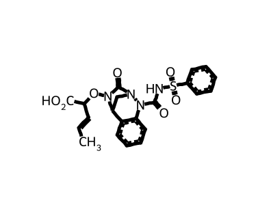 CC=CC(ON1C(=O)N2CC1c1ccccc1N2C(=O)NS(=O)(=O)c1ccccc1)C(=O)O